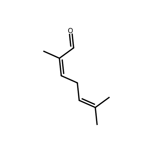 CC(C)=CCC=C(C)C=O